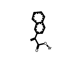 C=C(C(=O)OBr)c1ccc2ccccc2c1